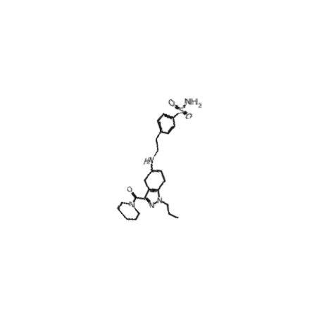 CCCn1nc(C(=O)N2CCCCC2)c2c1CCC(NCCc1ccc(S(N)(=O)=O)cc1)C2